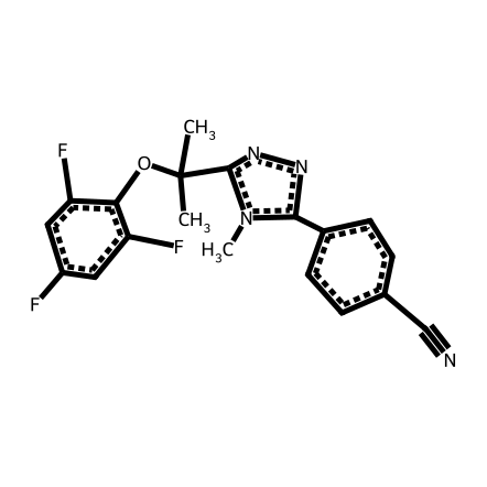 Cn1c(-c2ccc(C#N)cc2)nnc1C(C)(C)Oc1c(F)cc(F)cc1F